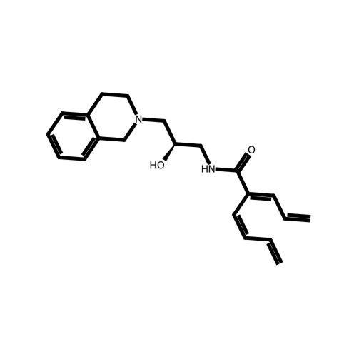 C=C/C=C\C(=C/C=C)C(=O)NC[C@@H](O)CN1CCc2ccccc2C1